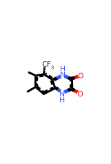 Cc1cc2[nH]c(=O)c(=O)[nH]c2c(C(F)(F)F)c1C